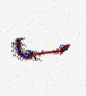 C/C=C/C[C@@H](C)[C@@H](OC(=O)OCOC(=O)CCC(=O)OCCOCCOCCOC(=O)CCC(=O)OCC(=O)[C@]12ON[C@@]13C[C@H](O)[C@@]1(F)C(CCC4=CC(=O)C=C[C@@]41C)C3C[C@H]2C)C(C(=O)NC(CC)C(=O)N(C)CC(=O)N(C)[C@@H](CC(C)C)C(=O)NC(C(=O)N(C)C1CC(C)N(C(C)C(=O)NC(C)C(=O)N(C)C(CC(C)C)C(=O)N(C)C(CC(C)C)C(=O)NC)C1=O)C(C)C)N(C)C(=O)CC(C)C